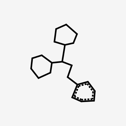 c1ccc(CCC(C2CCCCC2)C2CCCCC2)cc1